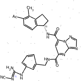 CC(=O)c1ccc2c(c1C)CC[C@@H]2NC(=O)c1cc(C(=O)NCc2cccc(N/C(N)=N/C#N)c2)nc2ncnn12